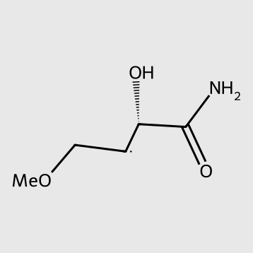 COC[CH][C@H](O)C(N)=O